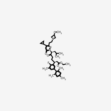 CCOC(=O)C[C@H](CCC(=O)[C@H](CC(C)C)n1nc(CCN2CC(OC)C2)c(C2CC2)cc1=O)c1cc(-c2c(C)cc(C)cc2C)cc(C)c1F